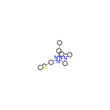 c1ccc(-c2ccc(-c3nc(-c4ccc(-c5cc6ccccc6s5)cc4)nc(-c4ccccc4-n4c5ccccc5c5ccccc54)n3)cc2)cc1